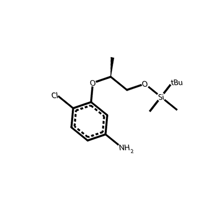 C[C@@H](CO[Si](C)(C)C(C)(C)C)Oc1cc(N)ccc1Cl